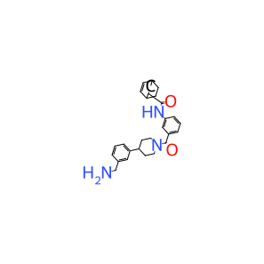 NCc1cccc(C2CCN(C(=O)c3cccc(NC(=O)C4CC5C=CC4CC5)c3)CC2)c1